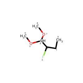 CCC(F)[SiH](OC)OC